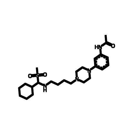 CC(=O)Nc1cccc(N2CCN(CCCCNC(C3CCCCC3)S(C)(=O)=O)CC2)c1